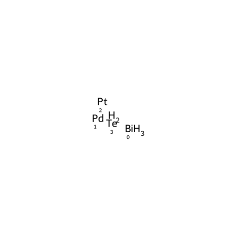 [BiH3].[Pd].[Pt].[TeH2]